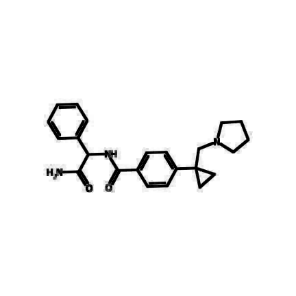 NC(=O)C(NC(=O)c1ccc(C2(CN3CCCC3)CC2)cc1)c1ccccc1